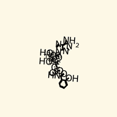 Nc1ncnc2c1ncn2[13C@@H]1O[13CH]([13CH2]OS(=O)(=O)NC(=O)c2ccccc2O)[13C@@H](O)[13C@H]1O